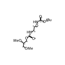 COCC(COC(=O)NCCONC(=O)OC(C)(C)C)OC